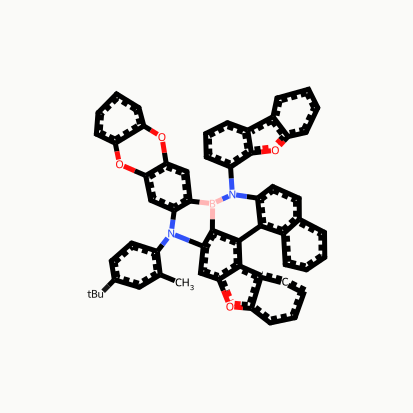 Cc1cc(C(C)(C)C)ccc1N1c2cc3c(cc2B2c4c1cc1oc5ccccc5c1c4-c1c(ccc4ccccc14)N2c1cccc2c1oc1ccccc12)Oc1ccccc1O3